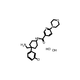 Cl.Cl.NCC1(c2cccc(Cl)c2)CCC(NC(=O)c2ccc(N3CCOCC3)nc2)CC1